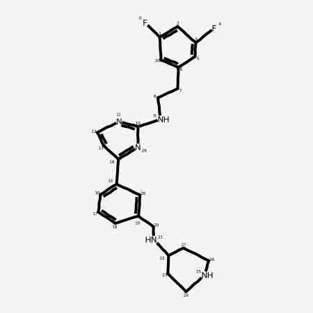 Fc1cc(F)cc(CCNc2nccc(-c3cccc(CNC4CCNCC4)c3)n2)c1